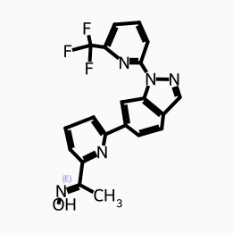 C/C(=N\O)c1cccc(-c2ccc3cnn(-c4cccc(C(F)(F)F)n4)c3c2)n1